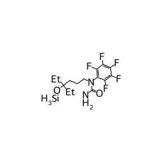 CCC(CC)(CCCN(C(N)=O)c1c(F)c(F)c(F)c(F)c1F)O[SiH3]